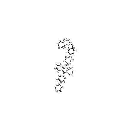 c1ccc(-c2ccc(-c3c4ccccc4c(-c4ccc(-c5ccc6sc7ccc8ccccc8c7c6c5)cc4)c4ccccc34)cc2)cc1